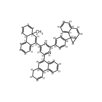 CC12C=CC=CC1c1ccccc1C(c1cc(-c3cc4c(c5ccccc35)C=CCC4)nc(-c3ccc(C45CC4C=Cc4ccccc45)cc3)n1)=C2